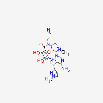 CN1CCC(N(CCC#N)C(=O)[C@H]2O[C@@H](n3cc(-c4ccn(C)n4)c4c(N)ncnc43)[C@H](O)[C@@H]2O)CC1